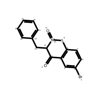 O=C1c2cc(Br)ccc2S[N+](=O)C1Cc1ccccc1